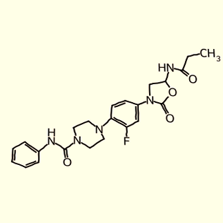 CCC(=O)NC1CN(c2ccc(N3CCN(C(=O)Nc4ccccc4)CC3)c(F)c2)C(=O)O1